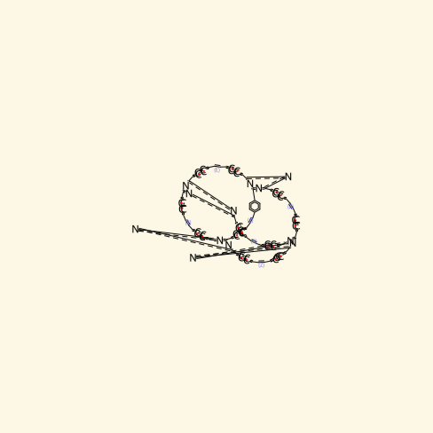 C1=C\c2ccc(cc2)-c2nc3nc(n2)-c2ccc(cc2)/C=C\c2ccc(cc2)-c2nc4nc(n2)-c2ccc(cc2)/C=C/c2ccc(cc2)-c2nc(nc(n2)-c2ccc(cc2)/C=C\c2ccc-3cc2)-c2ccc(cc2)/C=C\c2ccc(cc2)-c2nc(nc(n2)-c2ccc(cc2)/C=C\c2ccc-4cc2)-c2ccc/1cc2